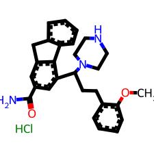 COc1ccccc1CCC(c1cc(C(N)=O)cc2c1-c1ccccc1C2)N1CCNCC1.Cl